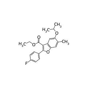 CCOC(=O)c1c(-c2ccc(F)cc2)oc2cc(C)c(OC(C)C)cc12